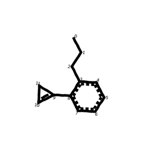 CCCc1ccccc1C1=CC1